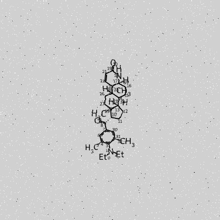 CCN(CC)c1c(C)cc(C(=O)[C@H]2CC[C@H]3[C@@H]4CC[C@H]5NC(=O)C=C[C@]5(C)[C@H]4CC[C@]23C)cc1C